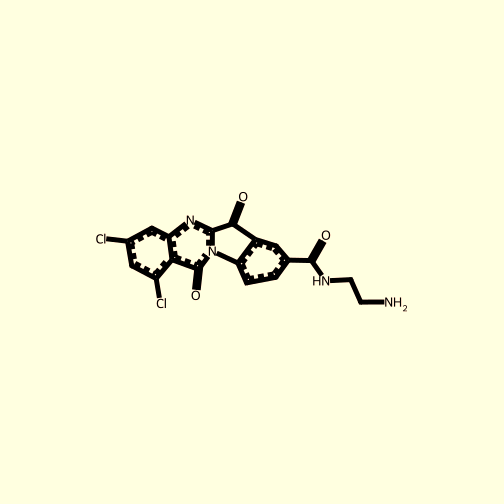 NCCNC(=O)c1ccc2c(c1)C(=O)c1nc3cc(Cl)cc(Cl)c3c(=O)n1-2